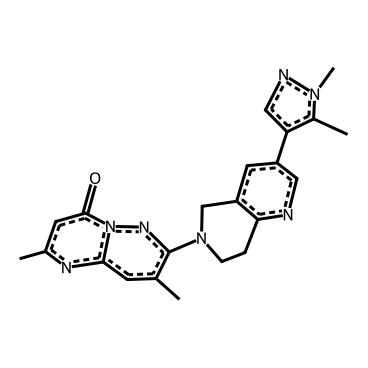 Cc1cc(=O)n2nc(N3CCc4ncc(-c5cnn(C)c5C)cc4C3)c(C)cc2n1